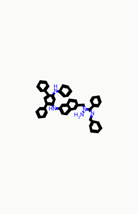 NN(Cc1ccc2cc(Nc3cc(Nc4ccccc4)c(-c4ccccc4)cc3-c3ccccc3)ccc2c1)/C(=N\Cc1ccccc1)c1ccccc1